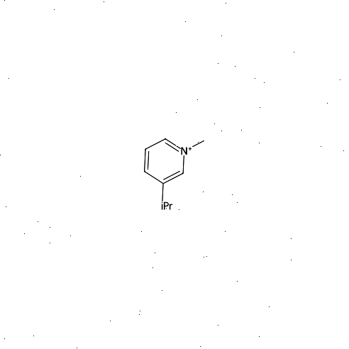 CC(C)c1ccc[n+](C)c1